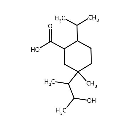 CC(C)C1CCC(C)(C(C)C(C)O)CC1C(=O)O